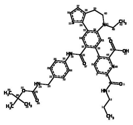 CCCNC(=O)c1ccc(-c2cc3c(cc2C(=O)Nc2ccc(CNC(=O)OC(C)(C)C)cc2)-c2sccc2CCN3CC)c(C(=O)O)n1